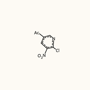 CC(=O)c1cnc(Cl)c([N+](=O)[O-])c1